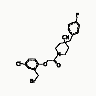 N#CC1(Cc2ccc(F)cc2)CCN(C(=O)COc2ccc(Cl)cc2CBr)CC1